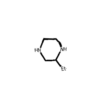 C[CH]C1CNCCN1